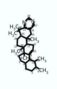 CC1CCC2CCC3(C)C(=CCC4C5(C)Cc6cncnc6C(C)(C)C5CCC43C)C2C1C